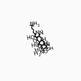 CN(C)c1nc(CCCC(C)(C)N)c(O)c2c1C[C@H]1C[C@H]3[C@H](N(C)C)C(O)=C(C(N)=O)C4(O)O[C@]34C(O)=C1C2=O